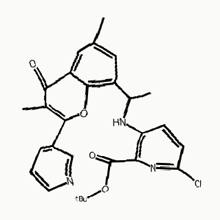 Cc1cc(C(C)Nc2ccc(Cl)nc2C(=O)OC(C)(C)C)c2oc(-c3cccnc3)c(C)c(=O)c2c1